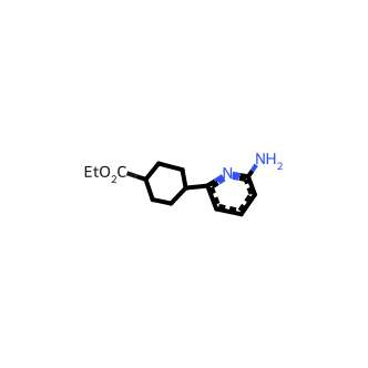 CCOC(=O)C1CCC(c2cccc(N)n2)CC1